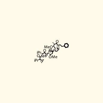 CC[C@H](C)[C@@H](C(CC(=O)N1CCC[C@H]1[C@H](OC)[C@@H](C)C(=O)NCCc1ccccc1)OC)N(C)C(=O)[C@@H](NC(=O)C(C(C)C)N(C)C)C(C)C